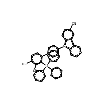 N#Cc1ccc2c(c1)c1ccccc1n2-c1ccc(-c2ccc(C#N)c(C#N)c2[Si](c2ccccc2)(c2ccccc2)c2ccccc2)cc1